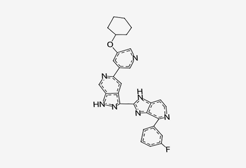 Fc1cccc(-c2nccc3[nH]c(-c4n[nH]c5cnc(-c6cncc(OC7CCCCC7)c6)cc45)nc23)c1